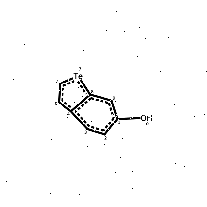 Oc1ccc2cc[te]c2c1